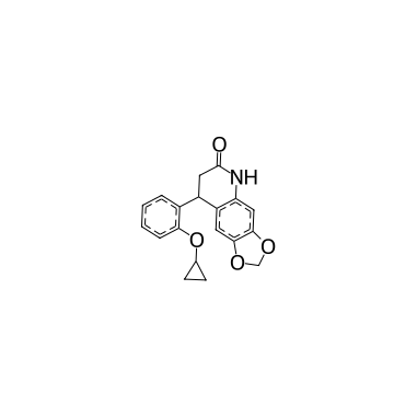 O=C1CC(c2ccccc2OC2CC2)c2cc3c(cc2N1)OCO3